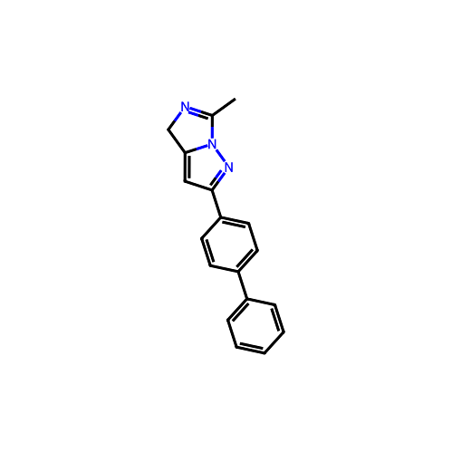 CC1=NCc2cc(-c3ccc(-c4ccccc4)cc3)nn21